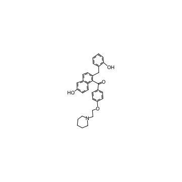 O=C(c1ccc(OCCN2CCCCC2)cc1)c1c(Cc2ccccc2O)ccc2cc(O)ccc12